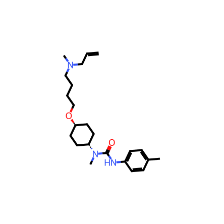 C=CCN(C)CCCCO[C@H]1CC[C@H](N(C)C(=O)Nc2ccc(C)cc2)CC1